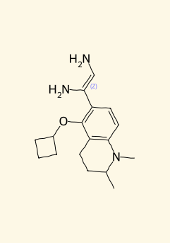 CC1CCc2c(ccc(/C(N)=C/N)c2OC2CCC2)N1C